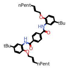 CCCCCC=CCOc1ccc(C(C)(C)C)cc1NC(=O)c1ccc(C(=O)Nc2cc(C(C)(C)C)ccc2OCC=CCCCCC)cc1